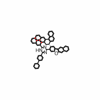 c1ccc(-c2ccc(C3=NC(c4cc5oc6cc7ccccc7cc6c5cc4[C@@H]4Cc5cc6ccccc6cc5-c5c4ccc4ccccc54)=NC(c4ccc5ccccc5c4)N3)cc2)cc1